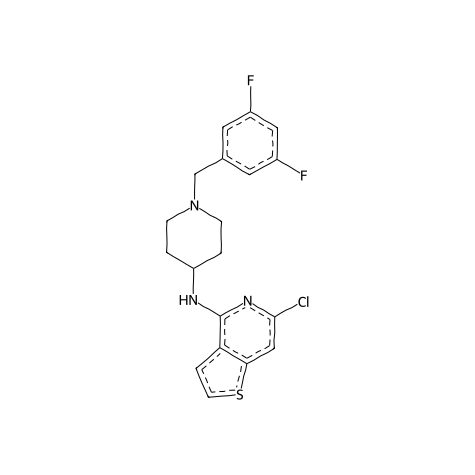 Fc1cc(F)cc(CN2CCC(Nc3nc(Cl)cc4sccc34)CC2)c1